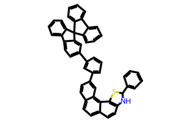 c1ccc(C2Nc3ccc4ccc5ccc(-c6cccc(-c7ccc8c(c7)C7(c9ccccc9-c9ccccc97)c7ccccc7-8)c6)cc5c4c3S2)cc1